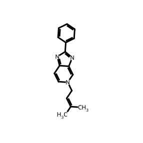 CC(C)=CCn1ccc2nc(-c3ccccc3)nc-2c1